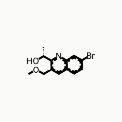 COCc1cc2ccc(Br)cc2nc1[C@@H](C)O